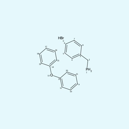 Br.PCc1ccccc1.c1ccc(Oc2ccccc2)cc1